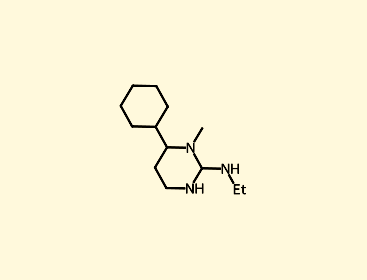 CCNC1NCCC(C2CCCCC2)N1C